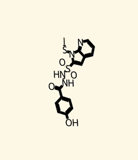 O=C(NNS(=O)(=O)c1cc2cccnc2n1SI)c1ccc(O)cc1